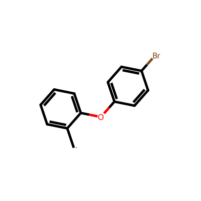 [CH2]c1ccccc1Oc1ccc(Br)cc1